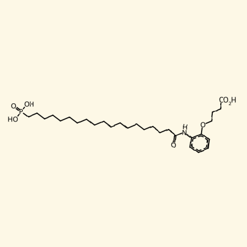 O=C(O)CCCOc1ccccc1NC(=O)CCCCCCCCCCCCCCCCCCP(=O)(O)O